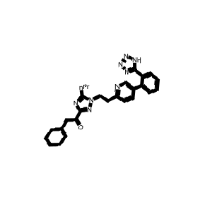 CCCc1nc(C(=O)CC2CCCCC2)nn1CCc1ccc(-c2ccccc2-c2nnn[nH]2)cn1